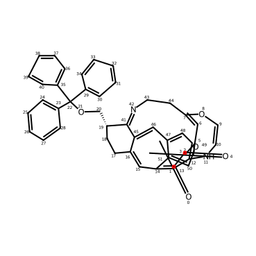 O=C1CC(=O)c2cc3occ[nH]c2/C1=C1\C=C2CC[C@H](COC(c4ccccc4)(c4ccccc4)c4ccccc4)/C(=N/CC3)C2=Cc2cocc21